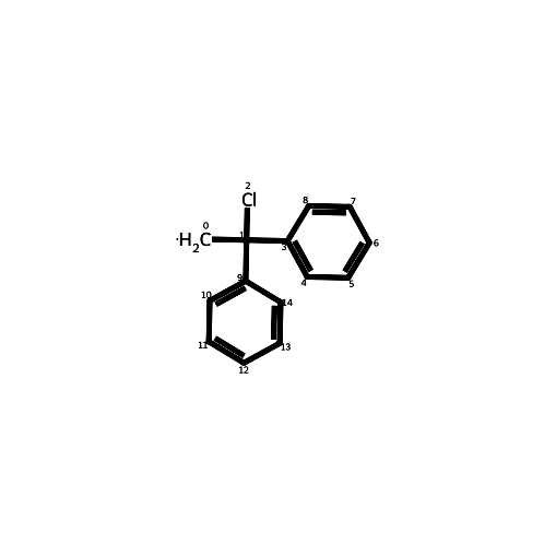 [CH2]C(Cl)(c1ccccc1)c1ccccc1